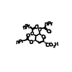 CCCC(=O)O[C@H]1O[C@H](C(=O)O)C[C@H](OC(=O)CCC)[C@H]1OC(=O)CCC